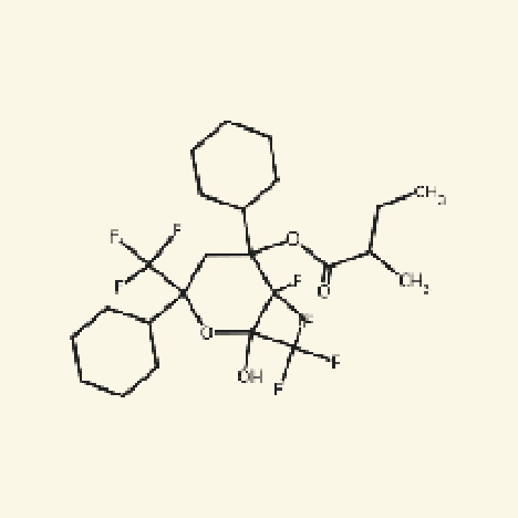 CCC(C)C(=O)OC1(C2CCCCC2)CC(C2CCCCC2)(C(F)(F)F)OC(O)(C(F)(F)F)C1(F)F